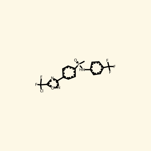 CP(=O)(Nc1ccc(C(F)(F)F)cc1)c1ccc(-c2noc(C(F)(F)Cl)n2)cc1